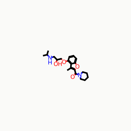 Cc1c(C(=O)N2CCCCC2)oc2cccc(OCC(O)CNC(C)C)c12